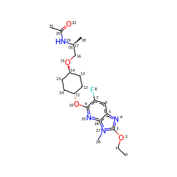 CCOc1nc2cc(F)c(O[C@H]3CC[C@H](OC[C@H](C)NC(C)=O)CC3)nc2n1C